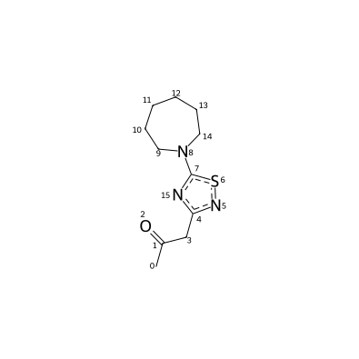 CC(=O)Cc1nsc(N2CCCCCC2)n1